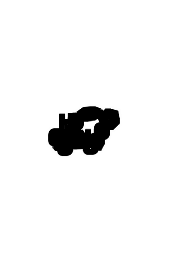 CCC1Oc2ccccc2C2CCC(CC2)OC[C@H]2C(NS(C)(=O)=O)CCN2C1=O